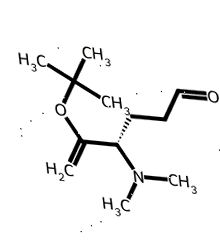 C=C(OC(C)(C)C)[C@H](CCC=O)N(C)C